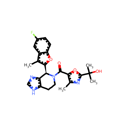 Cc1nc(C(C)(C)O)oc1C(=O)N1CCc2[nH]cnc2[C@H]1c1oc2ccc(F)cc2c1C